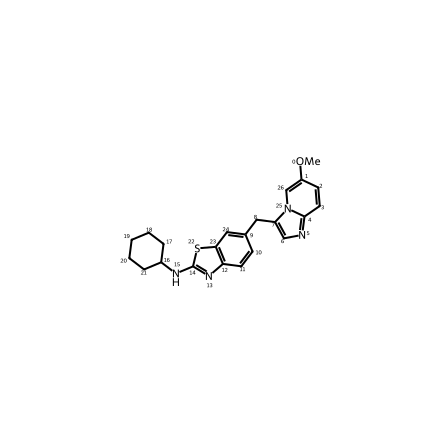 COc1ccc2ncc(Cc3ccc4nc(NC5CCCCC5)sc4c3)n2c1